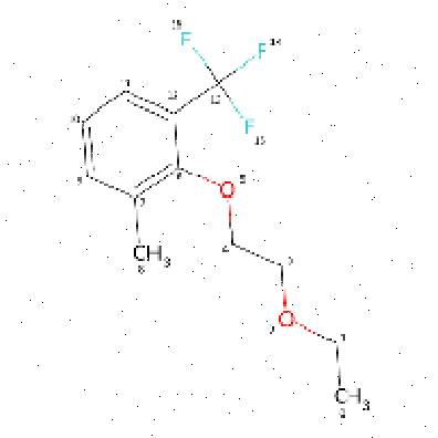 CCOCCOc1c(C)cccc1C(F)(F)F